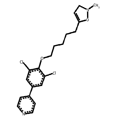 CN1CC=C(CCCCCOc2c(Cl)cc(-c3ccncc3)cc2Cl)O1